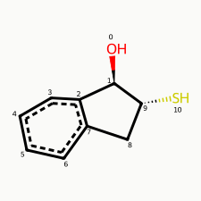 O[C@@H]1c2ccccc2C[C@H]1S